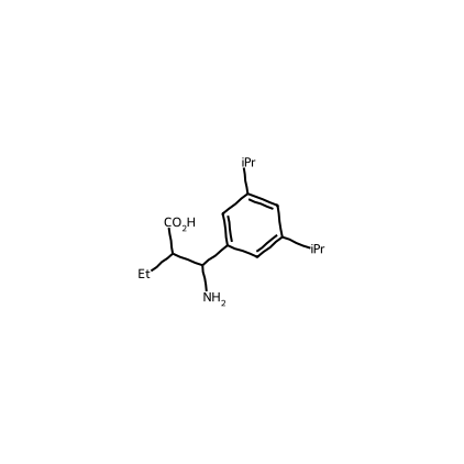 CCC(C(=O)O)C(N)c1cc(C(C)C)cc(C(C)C)c1